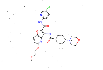 COCCOc1ccc2oc(C(=O)Nc3ccc(Cl)cn3)c(NC(=O)[C@H]3CC[C@H](N4CCOCC4)CC3)c2n1